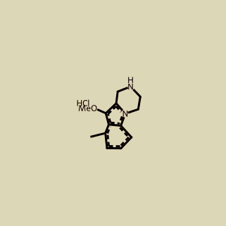 COc1c2n(c3cccc(C)c13)CCNC2.Cl